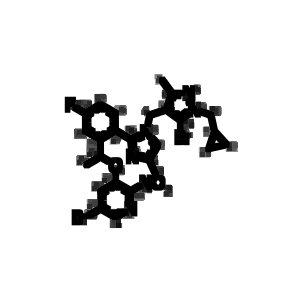 Cc1cn(Cc2c(C)nn(CC3CC3)c2Br)c(-c2ccc(F)cc2C(C)Oc2cc(Br)cnc2[N+](=O)[O-])n1